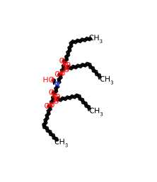 CCCCCCCC/C=C\CCCCCCCC(=O)OCC(COC(=O)CCCN(CCO)CCCC(=O)OCC(COC(=O)CCCCCCC/C=C\CCCCCCCC)OC(=O)CCCCCCC/C=C\CCCCCCCC)OC(=O)CCCCCCC/C=C\CCCCCCCC